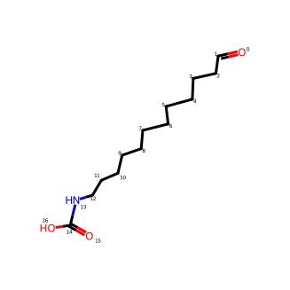 O=[C]CCCCCCCCCCCNC(=O)O